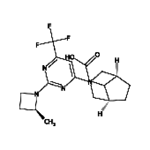 C[C@H]1CCN1c1nc(N2C[C@H]3CC[C@@H](C2)C3CC(=O)O)cc(C(F)(F)F)n1